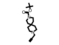 C#CCN1CCC2(CC1)CCN(C(=O)OC(C)(C)C)CC2